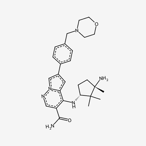 CC1(C)[C@H](Nc2c(C(N)=O)cnn3cc(-c4ccc(CN5CCOCC5)cc4)cc23)CC[C@]1(C)N